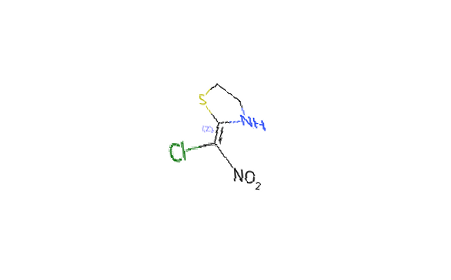 O=[N+]([O-])/C(Cl)=C1\NCCS1